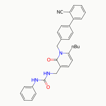 CCCCc1ccc(CNC(=O)Nc2ccccc2)c(=O)n1Cc1ccc(-c2ccccc2C#N)cc1